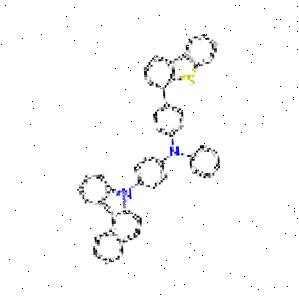 c1ccc(N(c2ccc(-c3cccc4c3sc3ccccc34)cc2)c2ccc(-n3c4ccccc4c4c5ccccc5ccc43)cc2)cc1